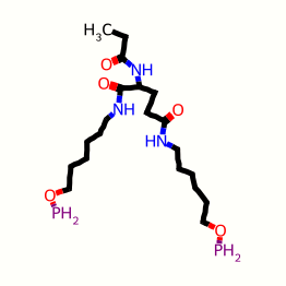 CCC(=O)NC(CCC(=O)NCCCCCCOP)C(=O)NCCCCCCOP